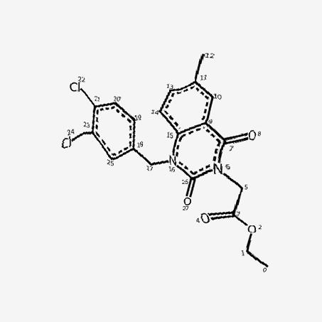 CCOC(=O)Cn1c(=O)c2cc(C)ccc2n(Cc2ccc(Cl)c(Cl)c2)c1=O